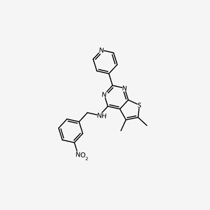 Cc1sc2nc(-c3ccncc3)nc(NCc3cccc([N+](=O)[O-])c3)c2c1C